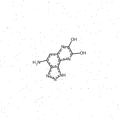 Nc1cc2nc(O)c(O)nc2c2[nH]nnc12